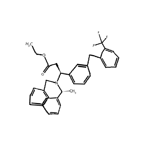 CCOC(=O)C[C@@H](c1cccc(Cc2ccccc2C(F)(F)F)c1)N(Cc1ccccc1)[C@H](C)c1ccccc1